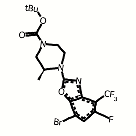 C[C@H]1CN(C(=O)OC(C)(C)C)CCN1c1nc2c(C(F)(F)F)c(F)cc(Br)c2o1